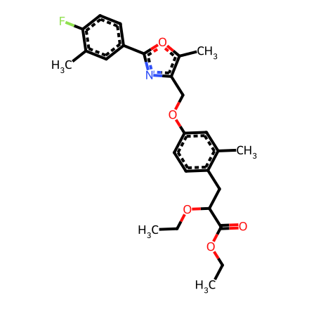 CCOC(=O)C(Cc1ccc(OCc2nc(-c3ccc(F)c(C)c3)oc2C)cc1C)OCC